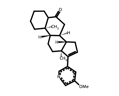 COc1cncc(C2=CC[C@H]3[C@@H]4CC(=O)C5CCCC[C@]5(C)[C@H]4CC[C@]23C)c1